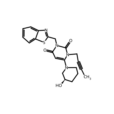 CC#CCn1c(N2CCC[C@@H](O)C2)cc(=O)n(Cc2nc3ccccc3s2)c1=O